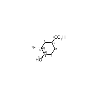 O=C(O)C1CC[C@@H](O)[C@H](F)C1